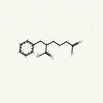 O=C(Cl)CCCC(Cc1ccccc1)C(=O)Cl